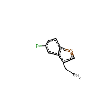 BCc1csc2ccc(F)cc12